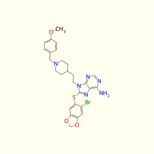 COc1ccc(CN2CCC(CCn3c(Sc4cc5c(cc4Br)OCO5)nc4c(N)ncnc43)CC2)cc1